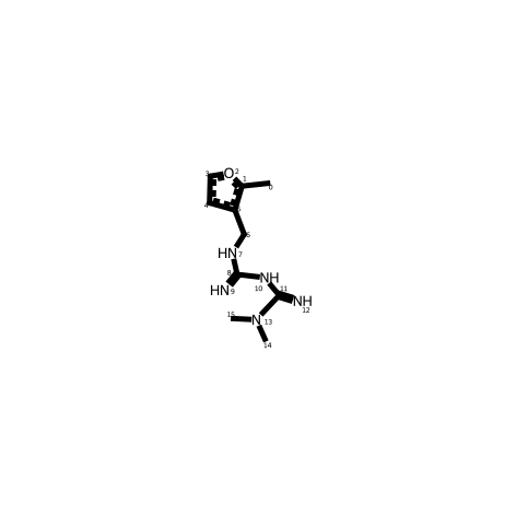 Cc1occc1CNC(=N)NC(=N)N(C)C